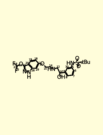 CC(C)(C)S(=O)(=O)Nc1cccc(C(O)CNCCOc2ccc3c(OC(F)F)n[nH]c3c2)c1